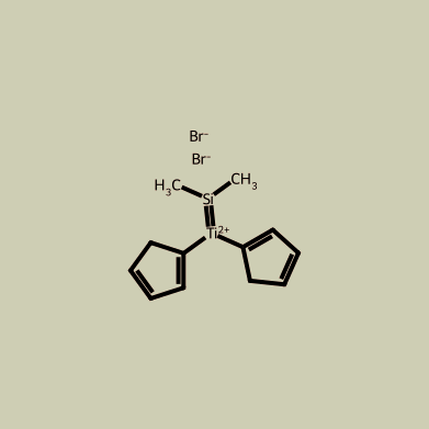 C[Si](C)=[Ti+2]([C]1=CC=CC1)[C]1=CC=CC1.[Br-].[Br-]